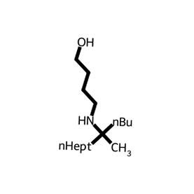 CCCCCCCC(C)(CCCC)NCCCCO